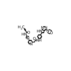 CC#CC(=O)NC1CN(c2ccnc(CC(=O)Nc3ccc(-c4cc5c(N6CCOCC6)ncnc5[nH]4)cc3)c2)C1